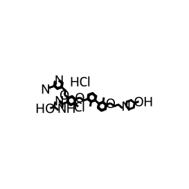 Cc1c(COc2cc(OCc3cncc(C#N)c3)c(C3=NCC(O)CN3)cc2Cl)cccc1-c1cccc(OCCCN2CCC(O)CC2)c1C.Cl